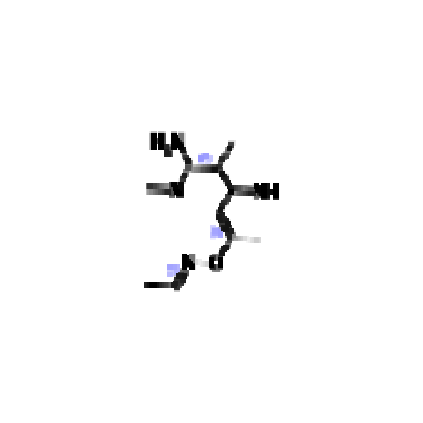 C=N/C(N)=C(/C)C(=N)/C=C(\C)O/N=C/C